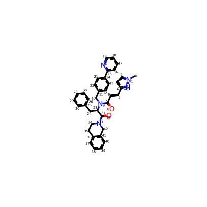 Cn1ccc(C=CC(=O)N(Cc2ccc(-c3ccccn3)cc2)C(Cc2ccccc2)C(=O)N2CCc3ccccc3C2)n1